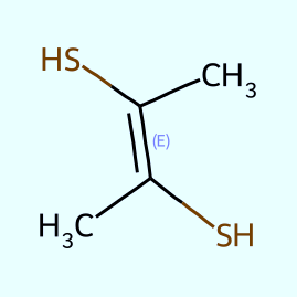 C/C(S)=C(/C)S